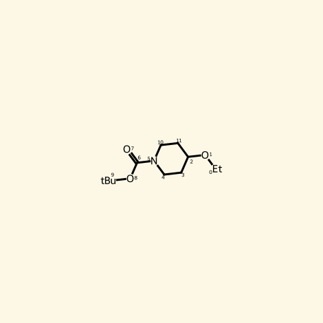 CCOC1CCN(C(=O)OC(C)(C)C)CC1